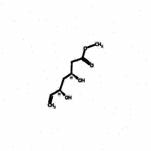 C=C[C@H](O)C[C@H](O)CC(=O)OC